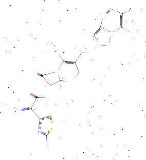 CO/N=C(\C(=O)N[C@@H]1C(=O)N2C(C(=O)O)=C(CSN3C=C4N=CC(C(=O)O)=C(O)N4N3)CS[C@H]12)c1csc(N)n1